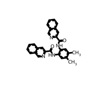 Cc1cc(NC(=O)c2cc3ccccc3cn2)c(NC(=O)c2cc3ccccc3cn2)cc1C